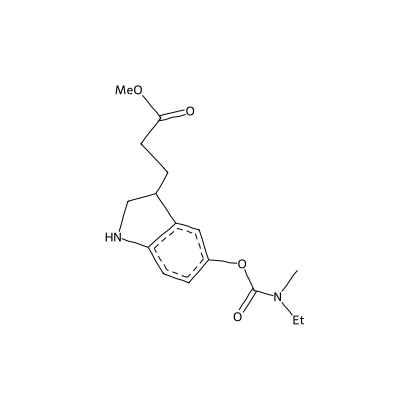 CCN(C)C(=O)Oc1ccc2c(c1)C(CCC(=O)OC)CN2